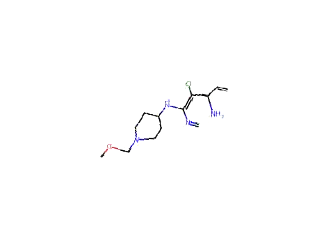 C=CC(N)/C(Cl)=C(\N=C)NC1CCN(COC)CC1